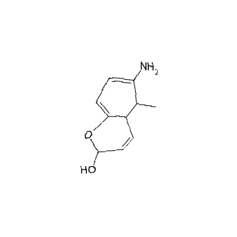 CC1C(N)=CC=C2OC(O)C=CC21